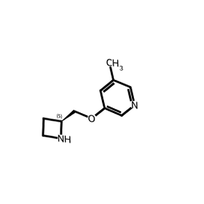 Cc1cncc(OC[C@@H]2CCN2)c1